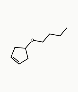 CCCCOC1CC=CC1